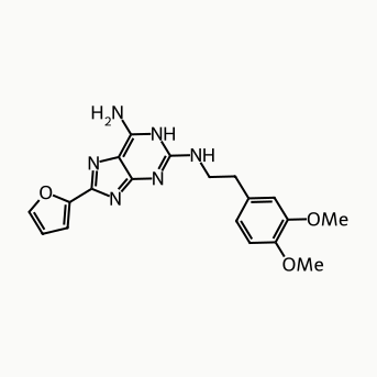 COc1ccc(CCNc2nc3nc(-c4ccco4)nc-3c(N)[nH]2)cc1OC